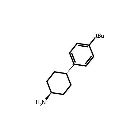 CC(C)(C)c1ccc([C@H]2CC[C@H](N)CC2)cc1